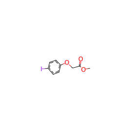 COC(=O)COc1ccc(I)cc1